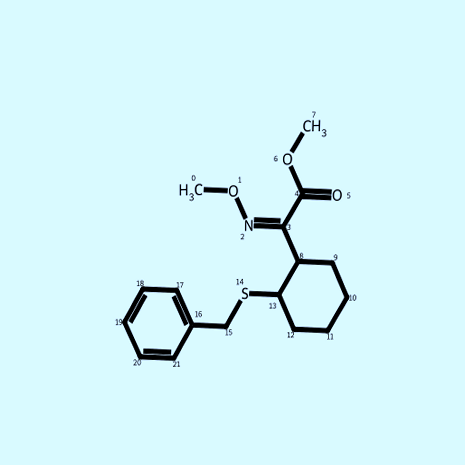 CON=C(C(=O)OC)C1CCCCC1SCc1ccccc1